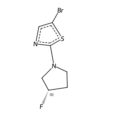 F[C@H]1CCN(c2ncc(Br)s2)C1